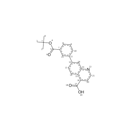 CC(C)(C)OC(=O)c1cccc(-c2ccc3c(C(=O)O)ccnc3c2)c1